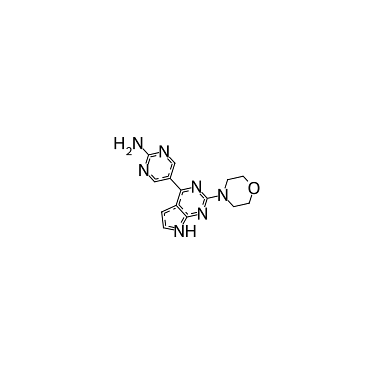 Nc1ncc(-c2nc(N3CCOCC3)nc3[nH]ccc23)cn1